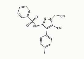 Cc1ccc(-c2c(NS(=O)(=O)c3ccccc3)nn(CC#N)c2C#N)cc1